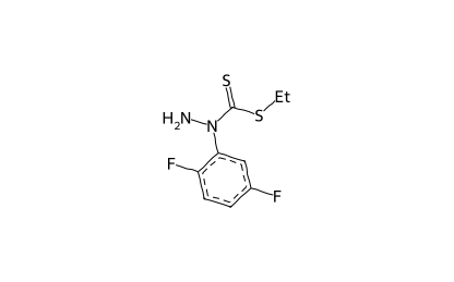 CCSC(=S)N(N)c1cc(F)ccc1F